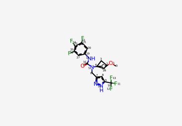 COC12CC(N(Cc3cc(C(F)(F)F)[nH]n3)C(=O)Nc3cc(F)c(F)c(F)c3)(C1)C2